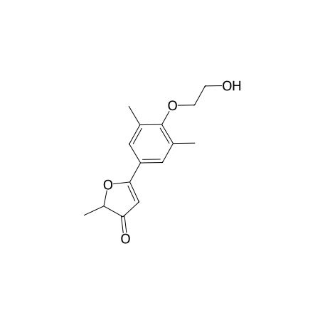 Cc1cc(C2=CC(=O)C(C)O2)cc(C)c1OCCO